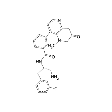 CN1CC(=O)Cc2nccc(-c3cccc(C(=O)N[C@H](CN)Cc4cccc(F)c4)c3)c21